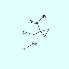 CCC(NC(C)C)C1(C(=O)C(C)C)CC1